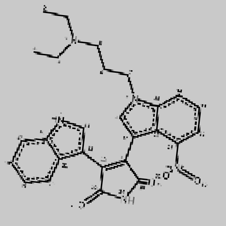 CCN(CC)CCCn1cc(C2=C(c3c[nH]c4ccccc34)C(=O)NC2=O)c2c([N+](=O)[O-])cccc21